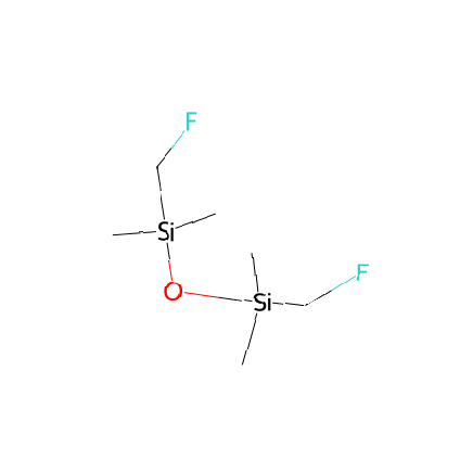 C[Si](C)(CF)O[Si](C)(C)CF